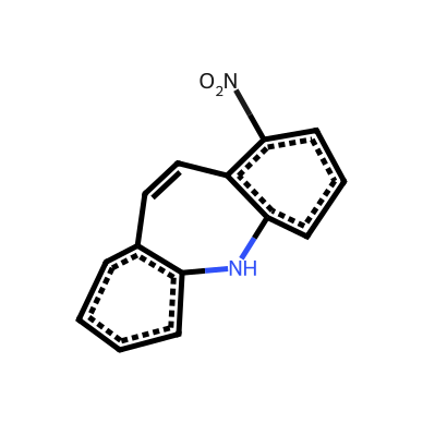 O=[N+]([O-])c1cccc2c1C=Cc1ccccc1N2